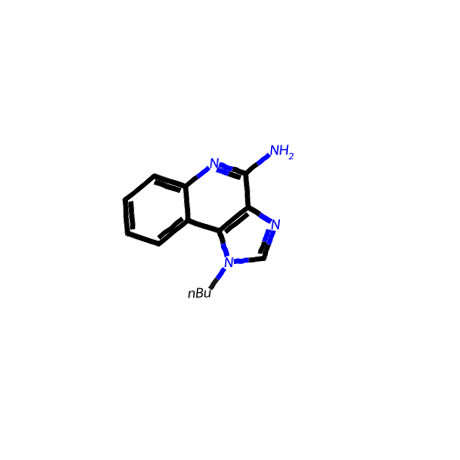 CCCCn1cnc2c(N)nc3ccccc3c21